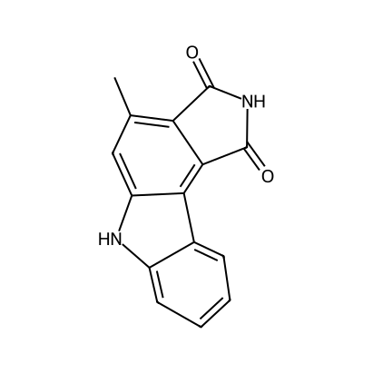 Cc1cc2[nH]c3ccccc3c2c2c1C(=O)NC2=O